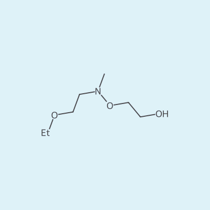 CCOCCN(C)OCCO